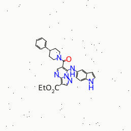 CCOC(=O)c1cnn2c(Nc3ccc4[nH]ccc4c3)c(C(=O)N3CCC(c4ccccc4)CC3)cnc12